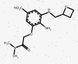 CN(C)C(=O)COc1cc(C(=O)O)cc(NCC2CCO2)c1N